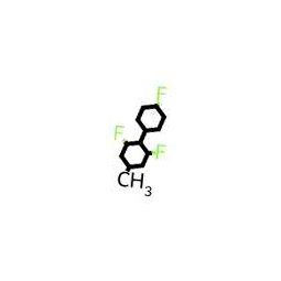 CC1CC(F)C(C2CCC(F)CC2)C(F)C1